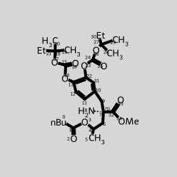 CCCCC(=O)OC(C)C[C@@](N)(Cc1ccc(OC(=O)OC(C)(C)CC)c(OC(=O)OC(C)(C)CC)c1)C(=O)OC